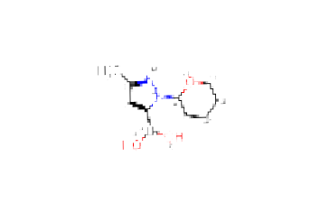 Cc1cc(B(O)O)n(C2CCCCO2)n1